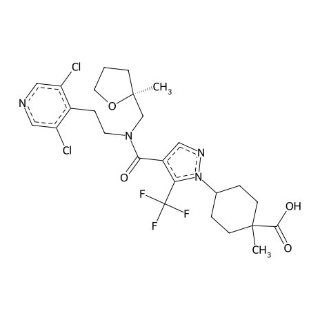 CC1(C(=O)O)CCC(n2ncc(C(=O)N(CCc3c(Cl)cncc3Cl)C[C@]3(C)CCCO3)c2C(F)(F)F)CC1